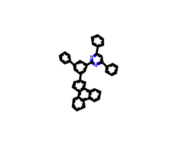 c1ccc(-c2cc(-c3ccc4c5ccccc5c5ccccc5c4c3)cc(-c3nc(-c4ccccc4)cc(-c4ccccc4)n3)c2)cc1